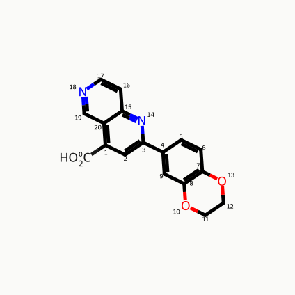 O=C(O)c1cc(-c2ccc3c(c2)OCCO3)nc2ccncc12